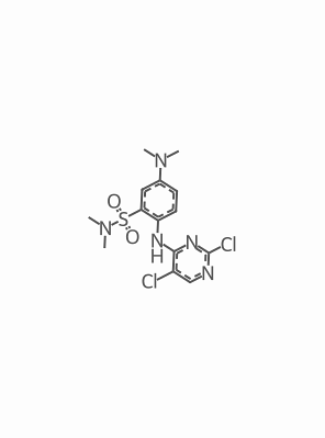 CN(C)c1ccc(Nc2nc(Cl)ncc2Cl)c(S(=O)(=O)N(C)C)c1